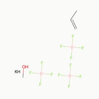 C=CC.CO.F[B-](F)(F)F.F[B-](F)(F)F.F[B-](F)(F)F.[KH]